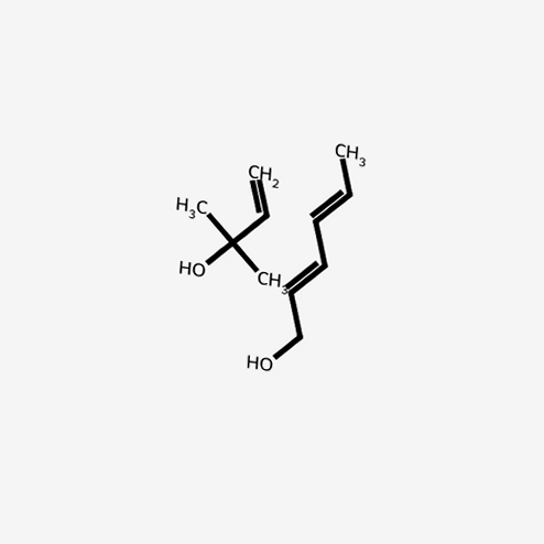 C=CC(C)(C)O.CC=CC=CCO